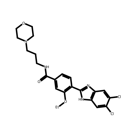 CCOc1cc(C(=O)NCCCN2CCOCC2)ccc1-c1nc2cc(Cl)c(Cl)cc2[nH]1